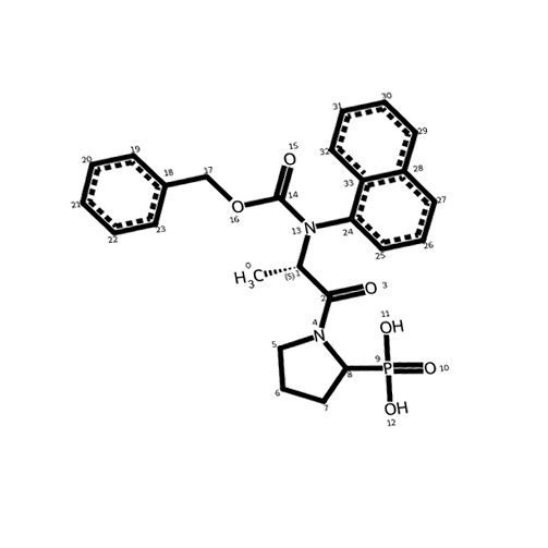 C[C@@H](C(=O)N1CCCC1P(=O)(O)O)N(C(=O)OCc1ccccc1)c1cccc2ccccc12